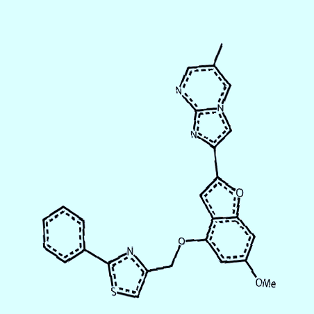 COc1cc(OCc2csc(-c3ccccc3)n2)c2cc(-c3cn4cc(C)cnc4n3)oc2c1